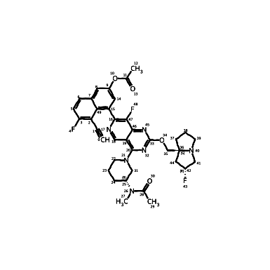 C#Cc1c(F)ccc2cc(OC(C)=O)cc(-c3ncc4c(N5CCC[C@@H](N(C)C(C)=O)C5)nc(OC[C@@]56CCCN5C[C@H](F)C6)nc4c3F)c12